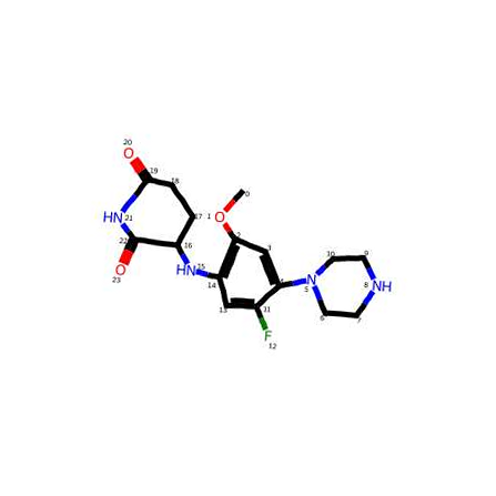 COc1cc(N2CCNCC2)c(F)cc1NC1CCC(=O)NC1=O